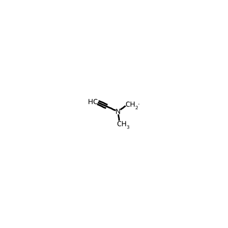 C#CN([CH2])C